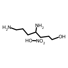 NCCCC(N)CCCO.O=[N+]([O-])O